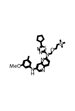 COc1cc(C)cc(Nc2cnc3ccc(N(COCC[Si](C)(C)C)c4nnc(C5CCCC5)s4)nc3c2)c1